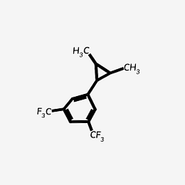 CC1C(C)C1c1cc(C(F)(F)F)cc(C(F)(F)F)c1